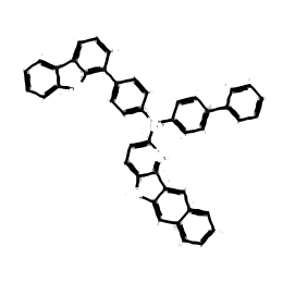 c1ccc(-c2ccc(N(c3ccc(-c4cccc5c4oc4ccccc45)cc3)c3ccc4sc5cc6ccccc6cc5c4n3)cc2)cc1